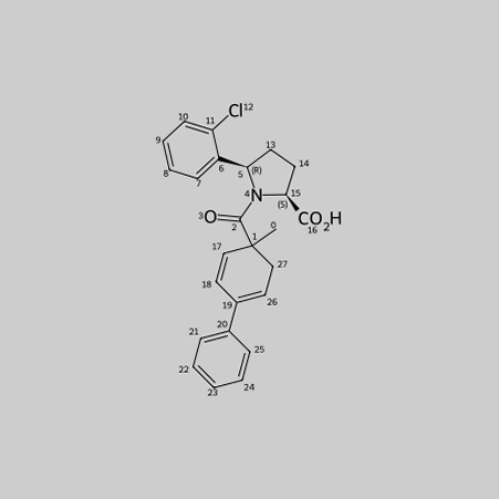 CC1(C(=O)N2[C@@H](c3ccccc3Cl)CC[C@H]2C(=O)O)C=CC(c2ccccc2)=CC1